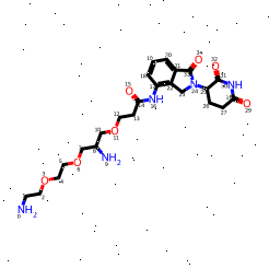 NCCOCCOCC(N)COCCC(=O)Nc1cccc2c1CN(C1CCC(=O)NC1=O)C2=O